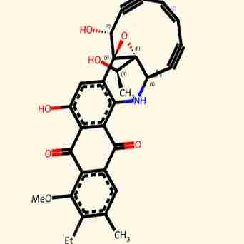 CCc1c(C)cc2c(c1OC)C(=O)c1c(O)cc3c(c1C2=O)N[C@H]1C#C/C=C\C#C[C@@H](O)[C@@]32O[C@@]12[C@@H](C)O